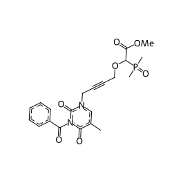 COC(=O)C(OCC#CCn1cc(C)c(=O)n(C(=O)c2ccccc2)c1=O)P(C)(C)=O